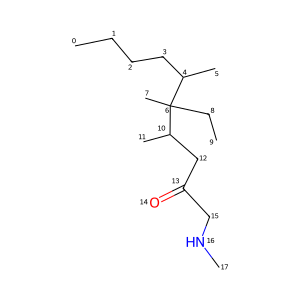 CCCCC(C)C(C)(CC)C(C)CC(=O)CNC